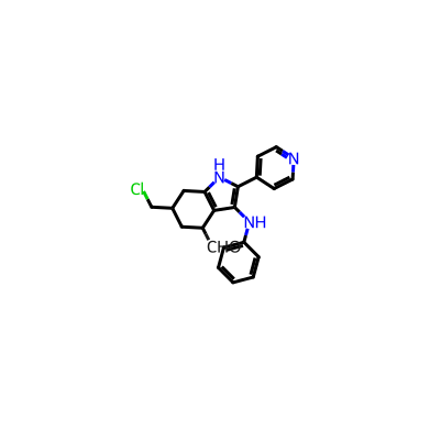 O=CC1CC(CCl)Cc2[nH]c(-c3ccncc3)c(Nc3ccccc3)c21